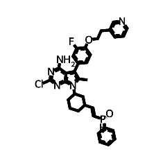 Cc1c(-c2ccc(OCCc3cccnc3)c(F)c2)c2c(N)nc(Cl)nc2n1C1CCCC(/C=C/[PH](=O)c2ccccc2)C1